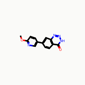 COc1ccc(-c2ccc3c(=O)[nH]nnc3c2)cn1